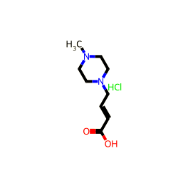 CN1CCN(C/C=C/C(=O)O)CC1.Cl